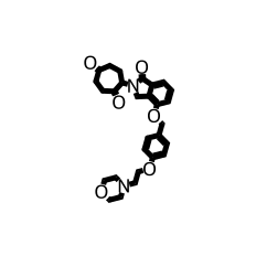 O=C1CCC(=O)C(N2Cc3c(OCc4ccc(OCCN5CCOCC5)cc4)cccc3C2=O)CC1